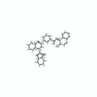 O=C1C=Cc2ccccc2C1=NNc1cccc(-c2cc(-c3nc4ccccc4[nH]3)c3ccccc3n2)c1